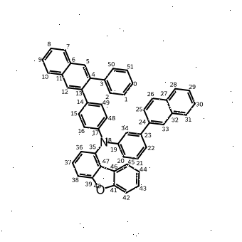 c1ccc(-c2cc3ccccc3cc2-c2ccc(N(c3cccc(-c4ccc5ccccc5c4)c3)c3cccc4oc5ccccc5c34)cc2)cc1